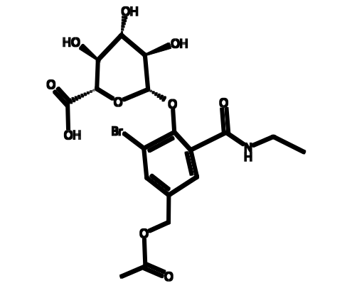 CCNC(=O)c1cc(COC(C)=O)cc(Br)c1O[C@@H]1O[C@H](C(=O)O)[C@@H](O)[C@H](O)[C@H]1O